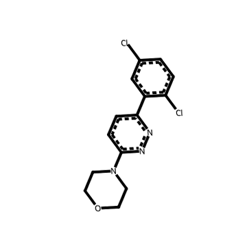 Clc1ccc(Cl)c(-c2ccc(N3CCOCC3)nn2)c1